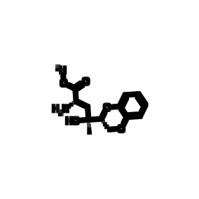 [2H]OC(=O)[C@@H](N)C[C@](C)(O)[C@H]1COc2ccccc2O1